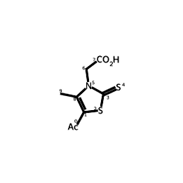 CC(=O)c1sc(=S)n(CC(=O)O)c1C